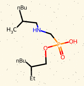 CCCCC(C)CNCP(=O)(O)OCC(CC)CCCC